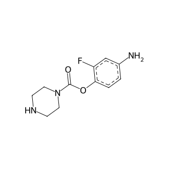 Nc1ccc(OC(=O)N2CCNCC2)c(F)c1